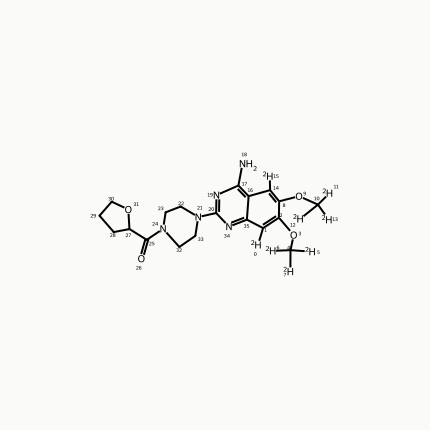 [2H]c1c(OC([2H])([2H])[2H])c(OC([2H])([2H])[2H])c([2H])c2c(N)nc(N3CCN(C(=O)C4CCCO4)CC3)nc12